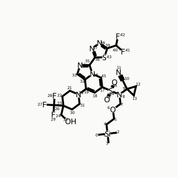 C[Si](C)(C)CCOCN(C1(C#N)CC1)S(=O)(=O)c1cc(N2CCC(CO)(C(F)(F)F)CC2)c2cnc(-c3nnc(C(F)F)s3)n2c1